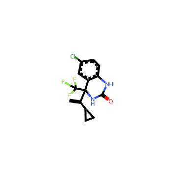 C=C(C1CC1)C1(C(F)(F)F)NC(=O)Nc2ccc(Cl)cc21